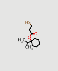 CC(C)C1(OC(=O)CCS)CCCCC1